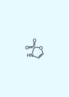 O=S1(=O)NC=CO1